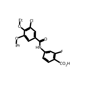 CCOc1c(Cl)cc(C(=O)Nc2ccc(C(=O)O)c(F)c2)cc1OC(C)C